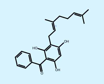 CC(C)=CCC/C(C)=C/Cc1c(O)cc(O)c(C(=O)c2ccccc2)c1O